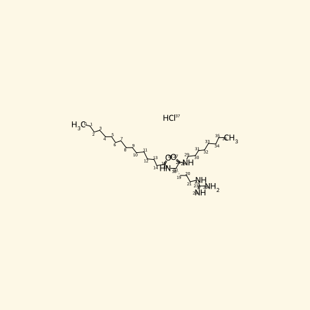 CCCCCCCCCCCCCCCC(=O)N[C@@H](CCCNC(=N)N)C(=O)NCCCCCCCC.Cl